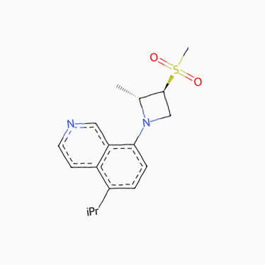 CC(C)c1ccc(N2C[C@H](S(C)(=O)=O)[C@H]2C)c2cnccc12